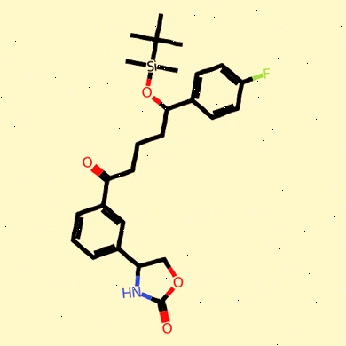 CC(C)(C)[Si](C)(C)OC(CCCC(=O)c1cccc(C2COC(=O)N2)c1)c1ccc(F)cc1